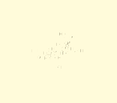 CCCCCC(C)(C)c1cc(CCc2cc(C(C)(C)CCCCC)c(OCCCC3CO3)c(C(C)(C)CCCCC)c2)cc(C(C)(C)CCCCC)c1OCCCC1CO1